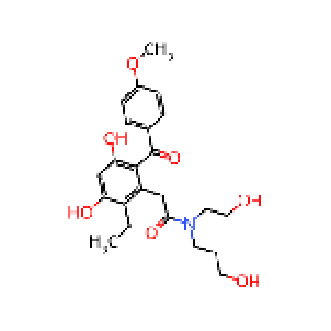 CCc1c(O)cc(O)c(C(=O)c2ccc(OC)cc2)c1CC(=O)N(CCO)CCCO